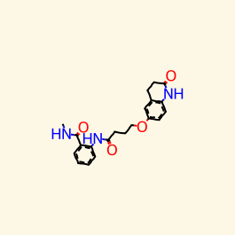 CNC(=O)c1ccccc1NC(=O)CCCOc1ccc2c(c1)CCC(=O)N2